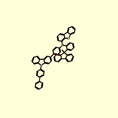 CC1(c2ccccc2N(c2ccc(-c3ccc4c(c3)c3ccccc3n4-c3ccc(-c4ccccc4)cc3)cc2)c2cccc3c2oc2ccccc23)c2ccccc2-c2ccccc21